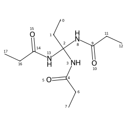 [CH2]CC(NC(=O)CC)(NC(=O)CC)NC(=O)CC